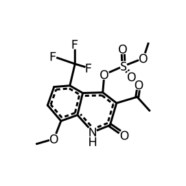 COc1ccc(C(F)(F)F)c2c(OS(=O)(=O)OC)c(C(C)=O)c(=O)[nH]c12